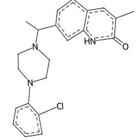 Cc1cc2ccc(C(C)N3CCN(c4ccccc4Cl)CC3)cc2[nH]c1=O